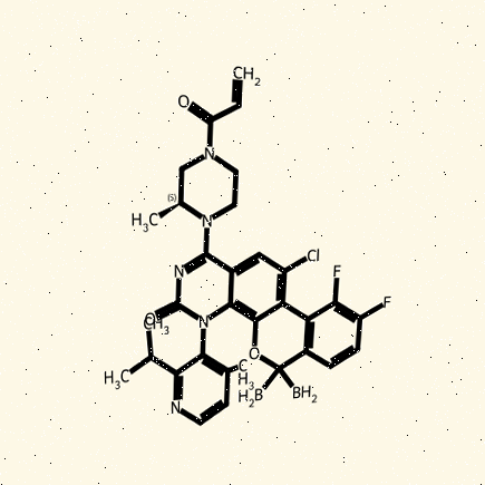 BC1(B)Oc2c(c(Cl)cc3c(N4CCN(C(=O)C=C)C[C@@H]4C)nc(=O)n(-c4c(C)ccnc4C(C)C)c23)-c2c1ccc(F)c2F